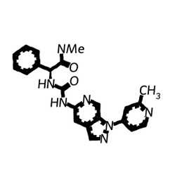 CNC(=O)[C@@H](NC(=O)Nc1cc2cnn(-c3ccnc(C)c3)c2cn1)c1ccccc1